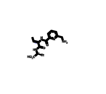 C/C=C(\NC(=O)c1cccc(CN)n1)C(=O)N[C@@H](CC)C(=O)O